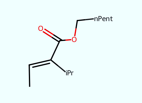 C/C=C(/C(=O)OCCCCCC)C(C)C